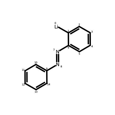 [Li][c]1ccccc1N=Nc1ccccc1